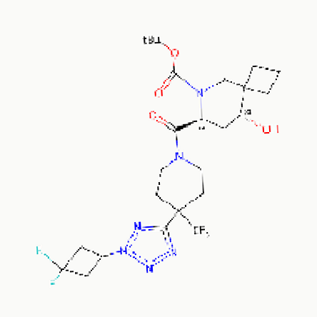 CC(C)(C)OC(=O)N1CC2(CCC2)[C@H](O)C[C@H]1C(=O)N1CCC(c2nnn(C3CC(F)(F)C3)n2)(C(F)(F)F)CC1